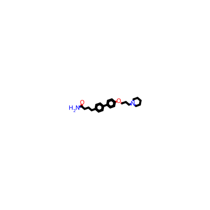 NC(=O)CCCc1ccc(-c2ccc(OCCCN3CCCCC3)cc2)cc1